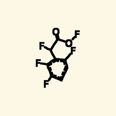 O=C(OF)C(F)c1c(F)ccc(F)c1F